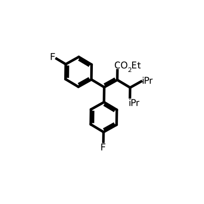 CCOC(=O)C(=C(c1ccc(F)cc1)c1ccc(F)cc1)C(C(C)C)C(C)C